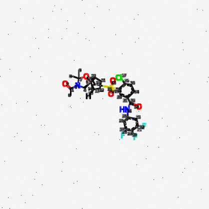 CC(=O)N1C[C@@]2(OC1(C)C)C1CC[C@H]2C[C@H](S(=O)(=O)c2cc(C(=O)Nc3cc(F)c(F)c(F)c3)ccc2Cl)C1